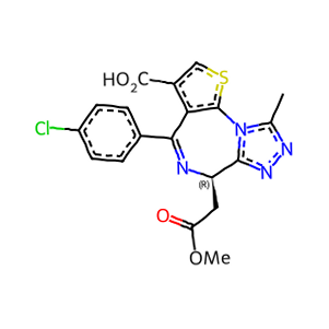 COC(=O)C[C@H]1N=C(c2ccc(Cl)cc2)c2c(C(=O)O)csc2-n2c(C)nnc21